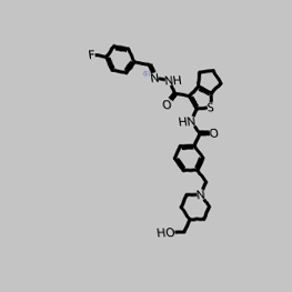 O=C(Nc1sc2c(c1C(=O)N/N=C/c1ccc(F)cc1)CCC2)c1cccc(CN2CCC(CO)CC2)c1